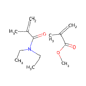 C=C(C)C(=O)N(CC)CC.C=C(C)C(=O)OC